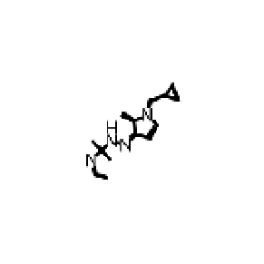 C=C1/C(=N\NC(C)(C)/N=C\C)C=CN1CC1CC1